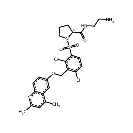 Cc1cc(C)c2cc(OCc3c(Cl)ccc(S(=O)(=O)N4CCC[C@H]4C(=O)NCCN)c3Cl)ccc2n1